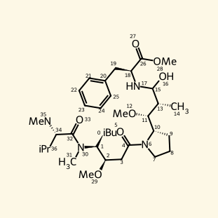 CC[C@H](C)[C@@H]([C@@H](CC(=O)N1CCC[C@H]1[C@H](OC)[C@@H](C)C(O)N[C@@H](Cc1ccccc1)C(=O)OC)OC)N(C)C(=O)[C@@H](NC)C(C)C